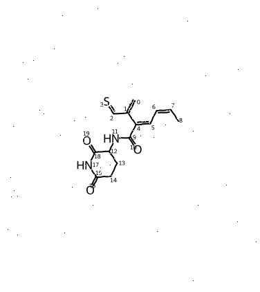 C=C(C=S)/C(=C\C=C/C)C(=O)NC1CCC(=O)NC1=O